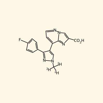 [2H]C([2H])([2H])n1cc(-c2ccnn3cc(C(=O)O)nc23)c(-c2ccc(F)cc2)n1